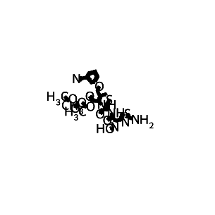 CC(C)OC(=O)OC(C)OC(=O)C1=C(COc2cccc(C#N)c2)CS[C@@H]2C(NC(=O)/C(=N\O)c3csc(N)n3)C(=O)N12